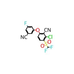 N#Cc1cc(F)cc(Oc2ccc(S(=O)(=O)C(F)F)c(Cl)c2C#N)c1